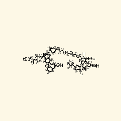 Cc1ncsc1-c1ccc([C@H](C)NC(=O)[C@@H]2C[C@@H](O)CN2C(=O)[C@@H](NC(=O)COCCOCCOCCOc2ccc(Nc3nc(N4CCN(C(=O)OC(C)(C)C)CC4)c4cc(Cl)c(-c5cc(O)cc6ccccc56)c(F)c4n3)cc2)C(C)(C)C)cc1